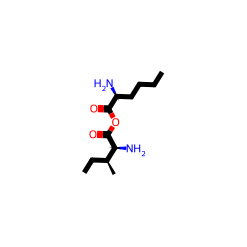 CCCC[C@H](N)C(=O)OC(=O)[C@@H](N)[C@@H](C)CC